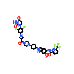 COc1cc2nn(C3CCC(N4CCN(C(=O)C5CN(c6cc(F)c(N7CCC(=O)NC7=O)c(F)c6)C5)CC4)CC3)cc2cc1NC(=O)c1cccc(C(F)(F)F)n1